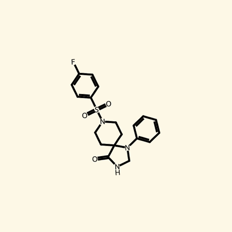 O=C1NCN(c2ccccc2)C12CCN(S(=O)(=O)c1ccc(F)cc1)CC2